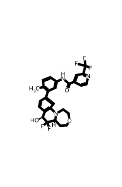 Cc1ccc(NC(=O)c2ccnc(C(F)(F)F)c2)cc1-c1ccc2c(c1)N1CCOCC[C@H]1C(F)(F)[C@H]2O